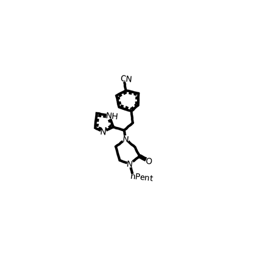 CCCCCN1CCN(C(Cc2ccc(C#N)cc2)c2ncc[nH]2)CC1=O